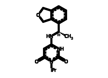 CC(C)n1c(=O)cc(N[C@@H](C)c2cccc3c2COC3)[nH]c1=O